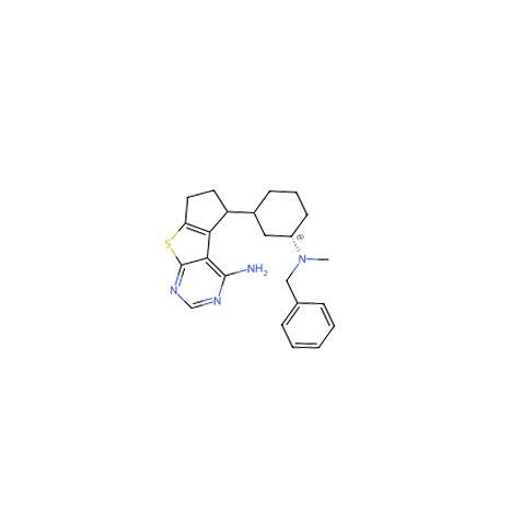 CN(Cc1ccccc1)[C@H]1CCCC(C2CCc3sc4ncnc(N)c4c32)C1